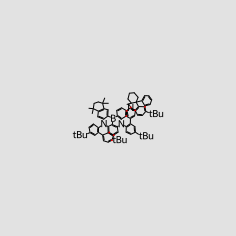 CC(C)(C)c1ccc(N2c3cc(N4c5ccc(C(C)(C)C)cc5C5(c6ccccc6)CCCCC45C)ccc3B3c4cc5c(cc4N(c4ccc(C(C)(C)C)cc4-c4ccccc4)c4cc(C(C)(C)C)cc2c43)C(C)(C)CCC5(C)C)c(-c2ccccc2)c1